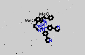 COc1ccccc1-c1ccc2cnc(N(c3ccc(-c4cccnc4)cc3)N(c3ccc(-c4cccnc4)cc3)c3ncc4ccc(-c5ccccc5OC)n4n3)nn12